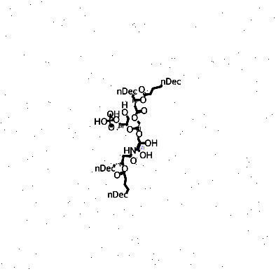 CCCCCCCCCCCCCC(=O)O[C@H](CCCCCCCCCCC)CC(=O)N/C(O)=C(/O)CO[C@@H](COC(=O)C[C@@H](CCCCCCCCCCC)OC(=O)CCCCCCCCCCCCC)OC(CO)[C@H](C)OP(=O)(O)O